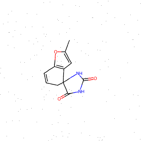 Cc1cc2c(o1)C=CCC21NC(=O)NC1=O